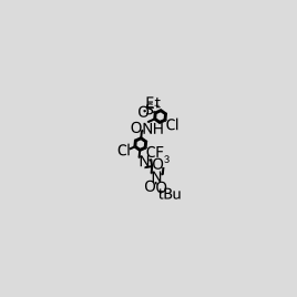 CC[S+]([O-])c1ccc(Cl)cc1CNC(=O)c1cc(Cl)c(CN2CC3(C2)CN(C(=O)OC(C)(C)C)CCO3)c(C(F)(F)F)c1